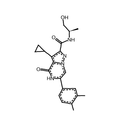 Cc1ccc(-c2cn3nc(C(=O)N[C@H](C)CO)c(C4CC4)c3c(=O)[nH]2)cc1C